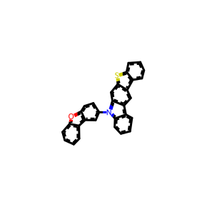 c1ccc2c(c1)oc1ccc(-n3c4ccccc4c4cc5c(cc43)sc3ccccc35)cc12